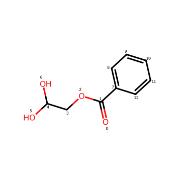 O=C(OCC(O)O)c1ccccc1